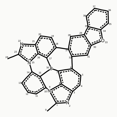 Cc1nc2ccc3c4c2n1-c1cccc2c1B4c1c(ccc4nc(C)n-2c14)-c1cc2c(cc1-3)oc1ccccc12